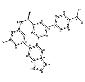 Cc1nc(N[C@@H](C)c2cccc(-c3cnc(N(C)C)nc3)c2)cc(-c2ccc3ncsc3c2)n1